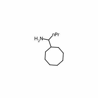 CCCC(N)C1CCCCCCC1